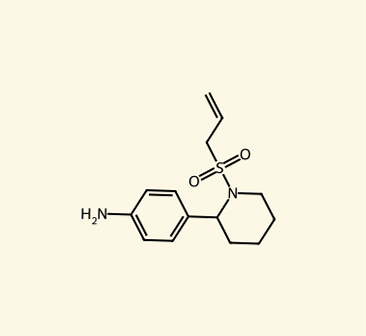 C=CCS(=O)(=O)N1CCCCC1c1ccc(N)cc1